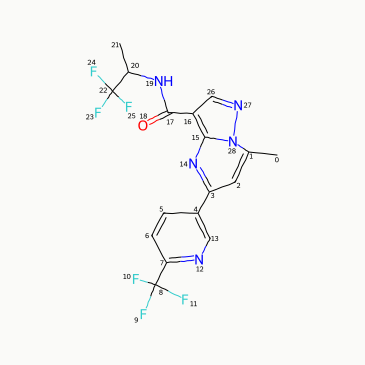 Cc1cc(-c2ccc(C(F)(F)F)nc2)nc2c(C(=O)NC(C)C(F)(F)F)cnn12